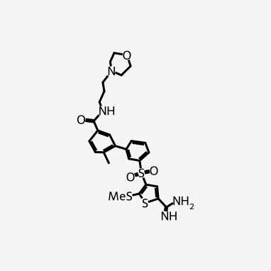 CSc1sc(C(=N)N)cc1S(=O)(=O)c1cccc(-c2cc(C(=O)NCCCN3CCOCC3)ccc2C)c1